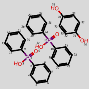 O=P(O)(c1ccccc1)c1ccccc1.O=P(O)(c1ccccc1)c1ccccc1.Oc1ccc(O)cc1